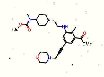 COC(=O)c1cc(C#CCN2CCOCC2)cc(NCC[C@H]2CC[C@H](N(C)C(=O)OC(C)(C)C)CC2)c1C